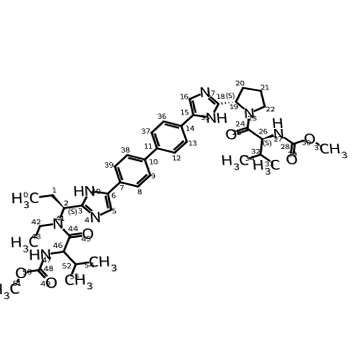 CC[C@@H](c1ncc(-c2ccc(-c3ccc(-c4cnc([C@@H]5CCCN5C(=O)[C@@H](NC(=O)OC)C(C)C)[nH]4)cc3)cc2)[nH]1)N(CC)C(=O)C(NC(=O)OC)C(C)C